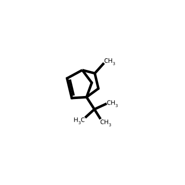 CC1CC2(C(C)(C)C)C=CC1C2